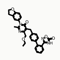 CCOCc1nc(C)n(-c2ccc3c(c2)CCO3)c(=O)c1Cc1ccc(-c2ccccc2-c2noc(=O)[nH]2)cc1